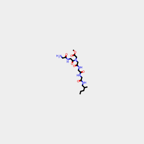 CCCC(C)CNC(=O)CNC(=O)CNC(=O)CN(CC(=O)OC)C(=O)CNC(=O)CN